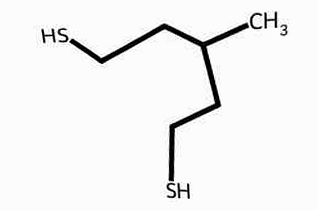 CC(CCS)CCS